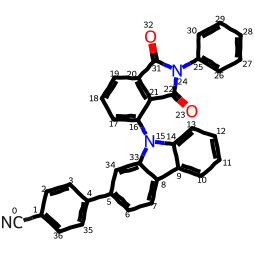 N#Cc1ccc(-c2ccc3c4ccccc4n(-c4cccc5c4C(=O)N(c4ccccc4)C5=O)c3c2)cc1